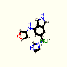 Cl.c1cn(Cc2cc3c(c(N[C@H]4CCOC4)c2)CNC3)cn1